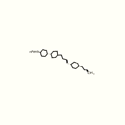 C=CCC[C@H]1CC[C@H](/C=C/CCC2CCC([C@H]3CC[C@H](CCCCC)CC3)CC2)CC1